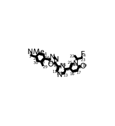 CNCc1ccc(-c2nnc(-c3cncc(-c4ccc(=O)n(C(C)CF)c4)n3)o2)c(C)c1